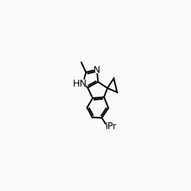 Cc1nc2c([nH]1)-c1ccc(C(C)C)cc1C21CC1